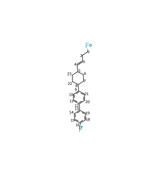 FCC/C=C/C1CCC(c2ccc(-c3ccc(F)cc3)cc2)CC1